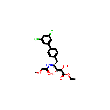 CCOC(=O)[C@@H](O)[C@H](O)[C@H](Cc1ccc(-c2cc(Cl)cc(Cl)c2)cc1)NC(=O)COC